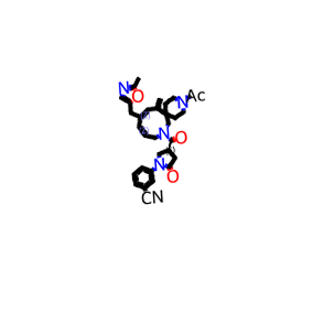 C=C1/C=C(Cc2cnc(C)o2)\C=C/CN(C(=O)[C@H]2CC(=O)N(c3cccc(C#N)c3)C2)CC12CCN(C(C)=O)CC2